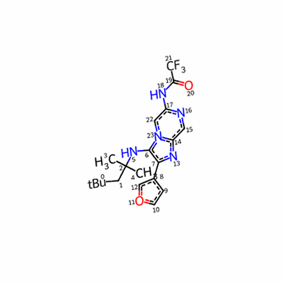 CC(C)(C)CC(C)(C)Nc1c(-c2ccoc2)nc2cnc(NC(=O)C(F)(F)F)cn12